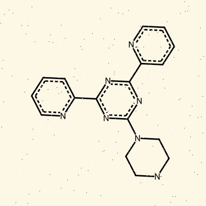 c1ccc(-c2nc(-c3ccccn3)nc(N3CC[N]CC3)n2)nc1